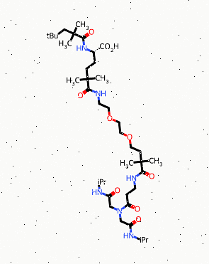 CC(C)NC(=O)CN(CC(=O)NC(C)C)C(=O)CCNC(=O)C(C)(C)CCOCCOCCNC(=O)C(C)(C)CC[C@H](NC(=O)C(C)(C)CC(C)(C)C)C(=O)O